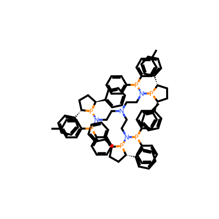 Cc1ccc(P(c2ccccc2)N(CCN(CCN(P(c2ccccc2)c2ccc(C)cc2)P2[C@H](c3ccccc3)CC[C@H]2c2ccccc2)CCN(P(c2ccccc2)c2ccc(C)cc2)P2[C@H](c3ccccc3)CC[C@H]2c2ccccc2)P2[C@H](c3ccccc3)CC[C@H]2c2ccccc2)cc1